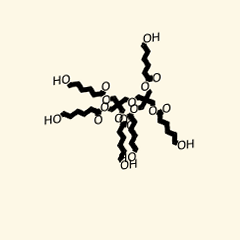 O=C(CCCCCO)OCC(COCC(COC(=O)CCCCCO)(COC(=O)CCCCCO)COC(=O)CCCCCO)(COC(=O)CCCCCO)COC(=O)CCCCCO